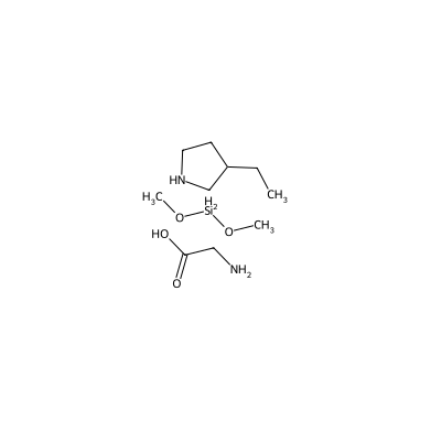 CCC1CCNC1.CO[SiH2]OC.NCC(=O)O